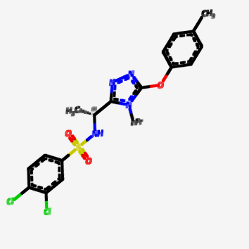 CCCn1c(Oc2ccc(C)cc2)nnc1[C@@H](C)NS(=O)(=O)c1ccc(Cl)c(Cl)c1